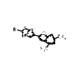 Cc1cc(C)c2cc(-c3cn4nc(Br)sc4n3)oc2c1